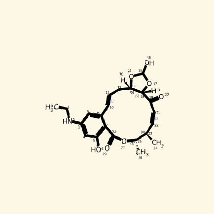 CCNc1cc(O)c2c(c1)/C=C/C[C@@H]1OC(O)O[C@@H]1C(=O)/C=C\[C@@H](C)[C@H](C)OC2=O